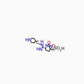 N=C(NCCC1CCNCC1)[C@@H]1CC[C@@H]2CN1C(=O)N2OS(=O)(=O)O